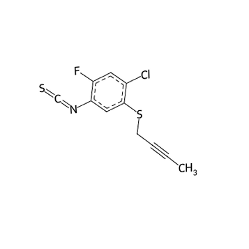 CC#CCSc1cc(N=C=S)c(F)cc1Cl